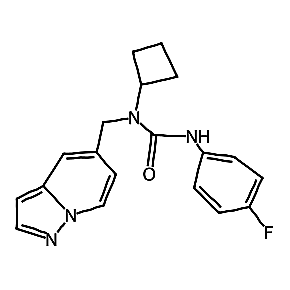 O=C(Nc1ccc(F)cc1)N(Cc1ccn2nccc2c1)C1CCC1